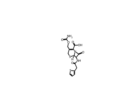 NC(=O)OCC1=C(C(=O)O)N2C(=O)C(NC(=O)Cc3cccs3)[C@@H]2SC1